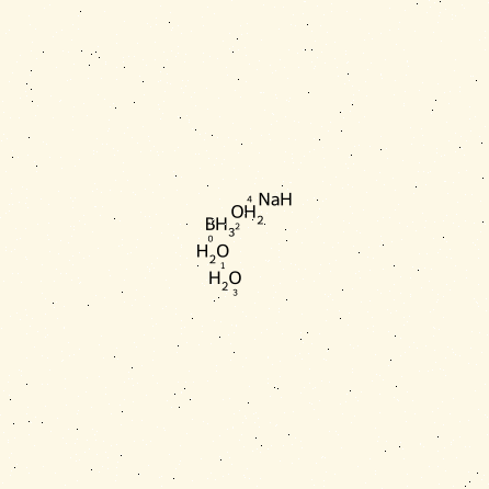 B.O.O.O.[NaH]